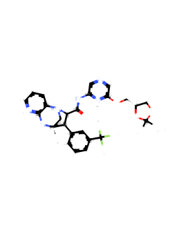 CC1(C)OC[C@H](COc2cncc(NC(=O)C3C(c4cccc(C(F)(F)F)c4)[C@H]4CN3c3cccnc3N4)n2)O1